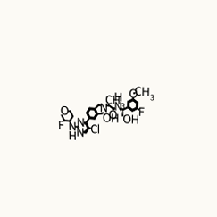 COc1cc(F)cc([C@@H](CO)NC(=O)C(C)N2Cc3ccc(-c4nc(NC5CCOCC5F)ncc4Cl)cc3C2O)c1